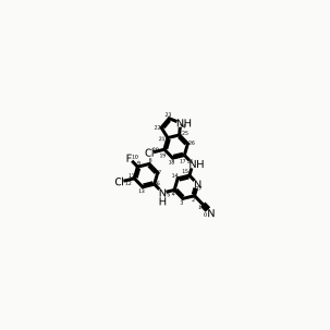 N#Cc1cc(Nc2ccc(F)c(Cl)c2)cc(Nc2cc(Cl)c3cc[nH]c3c2)n1